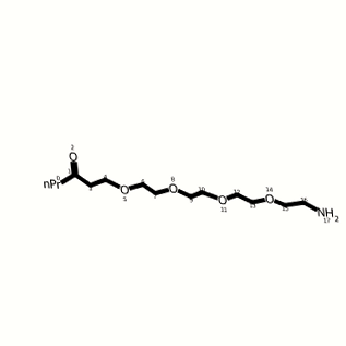 CCCC(=O)CCOCCOCCOCCOCCN